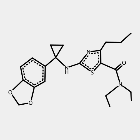 CCCc1nc(NC2(c3ccc4c(c3)OCO4)CC2)sc1C(=O)N(CC)CC